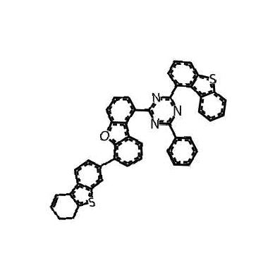 C1=Cc2c(sc3cc(-c4cccc5c4oc4cccc(-c6nc(-c7ccccc7)nc(-c7cccc8sc9ccccc9c78)n6)c45)ccc23)CC1